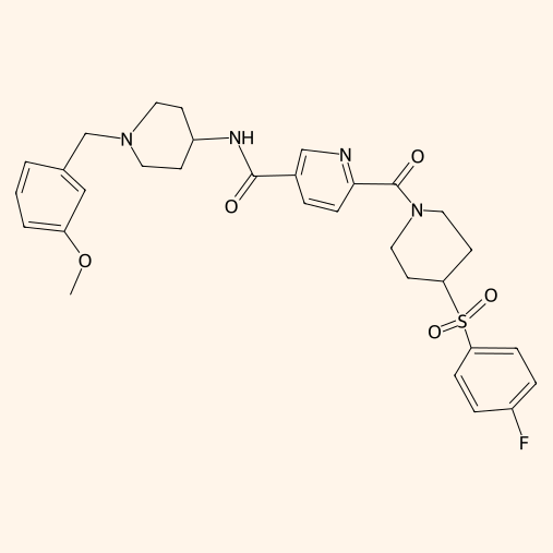 COc1cccc(CN2CCC(NC(=O)c3ccc(C(=O)N4CCC(S(=O)(=O)c5ccc(F)cc5)CC4)nc3)CC2)c1